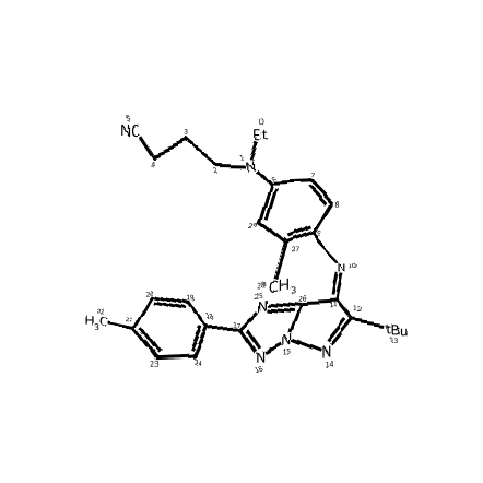 CCN(CCCC#N)c1ccc(/N=C2/C(C(C)(C)C)=Nn3nc(-c4ccc(C)cc4)nc32)c(C)c1